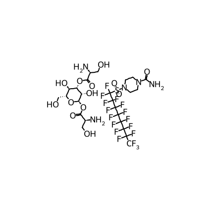 NC(=O)N1CCN(S(=O)(=O)C(F)(F)C(F)(F)C(F)(F)C(F)(F)C(F)(F)C(F)(F)C(F)(F)C(F)(F)F)CC1.N[C@@H](CO)C(=O)O[C@H]1O[C@H](CO)[C@@H](O)[C@H](OC(=O)[C@@H](N)CO)[C@@H]1O